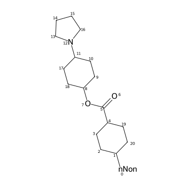 CCCCCCCCCC1CCC(C(=O)OC2CCC(N3CCCC3)CC2)CC1